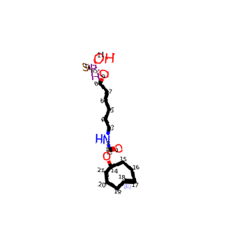 O=C(NCCCCCCO[PH](O)=S)OC1CC/C=C/CCC1